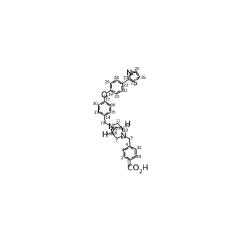 O=C(O)c1ccc(CN2C[C@@H]3C[C@H]2CN3Cc2ccc(Oc3ccc(-c4nccs4)cc3)cc2)cc1